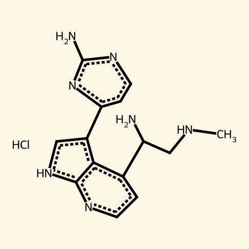 CNCC(N)c1ccnc2[nH]cc(-c3ccnc(N)n3)c12.Cl